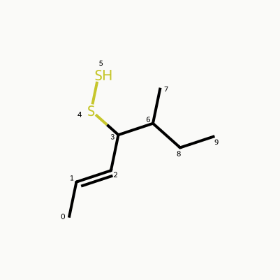 CC=CC(SS)C(C)CC